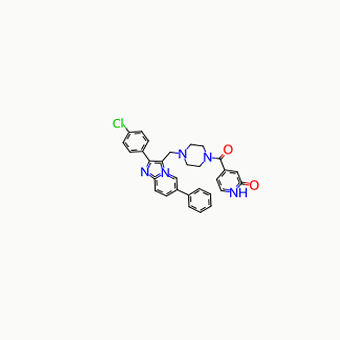 O=C(c1cc[nH]c(=O)c1)N1CCN(Cc2c(-c3ccc(Cl)cc3)nc3ccc(-c4ccccc4)cn23)CC1